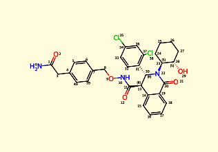 NC(=O)Cc1ccc(CONC(=O)[C@@H]2c3ccccc3C(=O)N([C@H]3CCCC[C@@H]3O)[C@H]2c2ccc(Cl)cc2Cl)cc1